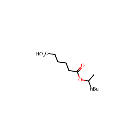 CCCCC(C)OC(=O)CCCCC(=O)O